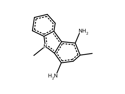 Cc1cc(N)c2c(c1N)c1ccccc1n2C